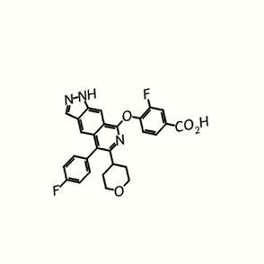 O=C(O)c1ccc(Oc2nc(C3CCOCC3)c(-c3ccc(F)cc3)c3cc4cn[nH]c4cc23)c(F)c1